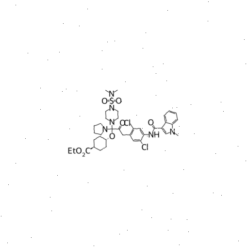 CCOC(=O)[C@H]1CC[C@H](OC(C(=O)Cc2cc(Cl)c(NC(=O)c3cn(C)c4ccccc34)cc2Cl)(N2CCCC2)N2CCN(S(=O)(=O)N(C)C)CC2)CC1